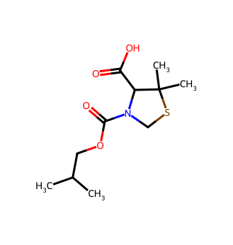 CC(C)COC(=O)N1CSC(C)(C)C1C(=O)O